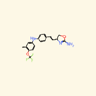 Cc1cc(Nc2ccc(C=CC3COC(N)=N3)cc2)ccc1OC(F)(F)F